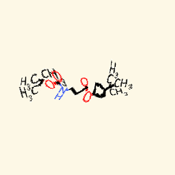 CC(C)(C)OC(=O)NCCC(=O)Oc1ccc(C(C)(C)C)cc1